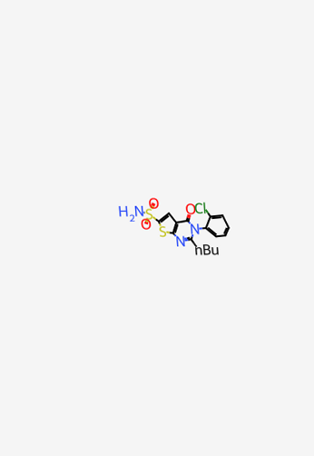 CCCCc1nc2sc(S(N)(=O)=O)cc2c(=O)n1-c1ccccc1Cl